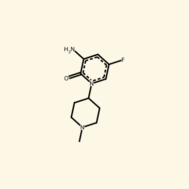 CN1CCC(n2cc(F)cc(N)c2=O)CC1